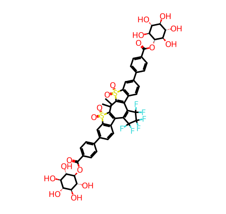 CCC1=C(C2=C(C3=C(CC)S(=O)(=O)c4cc(-c5ccc(C(=O)O[C@H]6[C@H](O)[C@@H](O)[C@H](O)[C@@H](O)[C@@H]6O)cc5)ccc43)C(F)(F)C(F)(F)C2(F)F)c2ccc(-c3ccc(C(=O)O[C@H]4[C@H](O)[C@@H](O)[C@H](O)[C@@H](O)[C@@H]4O)cc3)cc2S1(=O)=O